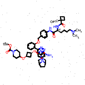 CN(C)CCCC[C@H](NC(=O)C1(C=O)CCC1)C(=O)Nc1ccc(COc2ccccc2-c2cc(N3CC4CCC(C3)N4c3ccnc(O[C@H]4C[C@H](OC5CCN(C(=O)OC(C)(C)C)CC5)C4)c3)c(N)nn2)cc1